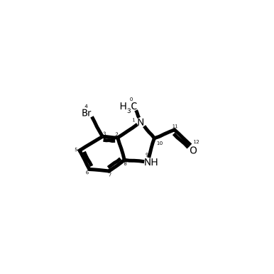 CN1c2c(Br)cccc2NC1C=O